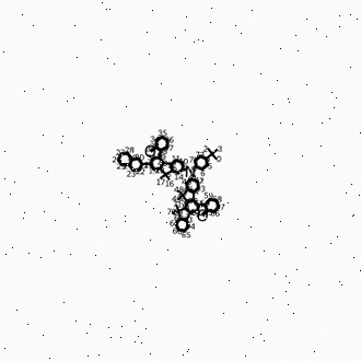 CC(C)(C)c1ccc(N(c2ccc3c(c2)C(C)(C)c2cc(-c4ccc5ccccc5c4)c4oc5ccccc5c4c2-3)c2ccc3c(c2)C(C)(C)c2c4c(c5oc6ccccc6c5c2-3)-c2ccccc2C4(C)C)cc1